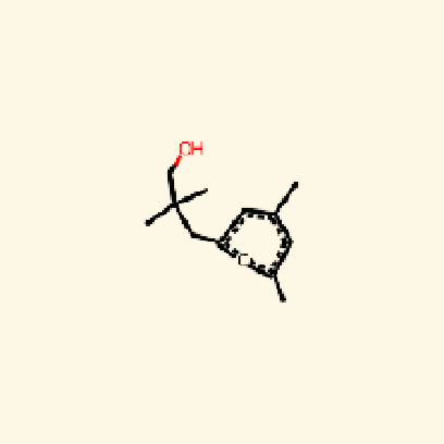 Cc1cc(C)cc(CC(C)(C)CO)c1